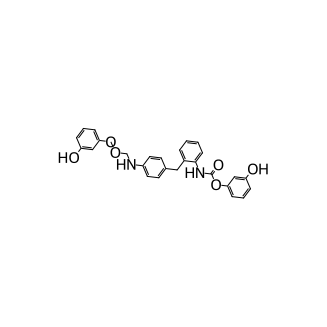 O=C(Nc1ccccc1Cc1ccc(NCOOc2cccc(O)c2)cc1)Oc1cccc(O)c1